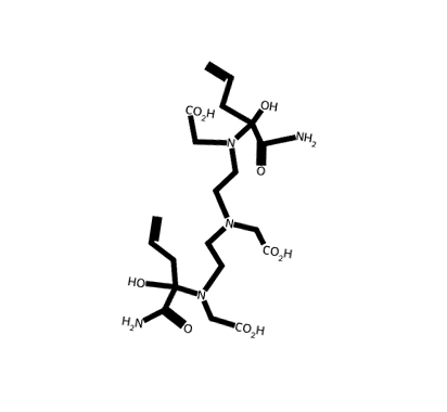 C=CCC(O)(C(N)=O)N(CCN(CCN(CC(=O)O)C(O)(CC=C)C(N)=O)CC(=O)O)CC(=O)O